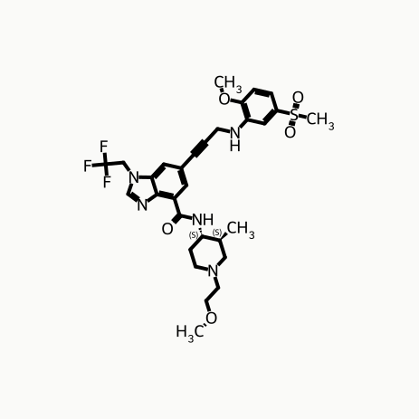 COCCN1CC[C@H](NC(=O)c2cc(C#CCNc3cc(S(C)(=O)=O)ccc3OC)cc3c2ncn3CC(F)(F)F)[C@@H](C)C1